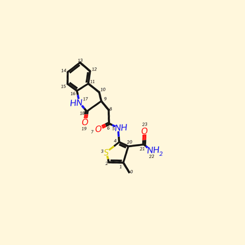 Cc1csc(NC(=O)CC2Cc3ccccc3NC2=O)c1C(N)=O